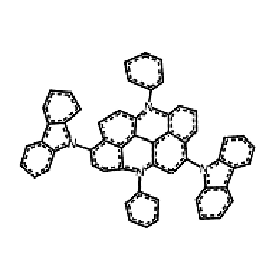 c1ccc(-n2c3ccc4c(-n5c6ccccc6c6ccccc65)ccc5c4c3-c3c4c(cccc42)c(-n2c4ccccc4c4ccccc42)cc3n5-c2ccccc2)cc1